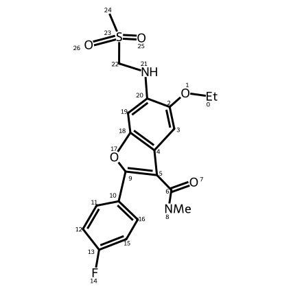 CCOc1cc2c(C(=O)NC)c(-c3ccc(F)cc3)oc2cc1NCS(C)(=O)=O